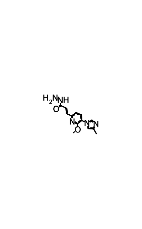 COc1nc(C=CC(=O)NN)ccc1-n1cnc(C)c1